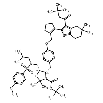 COc1ccc(S(=O)(=O)N(CC(C)C)C[C@H]2OC(C)(C)N(C(=O)OC(C)(C)C)[C@H]2Cc2ccc(OCC3=C(c4sc5c(c4C(=O)OC(C)(C)C)CC(C)(C)CC5)CCC3)cc2)cc1